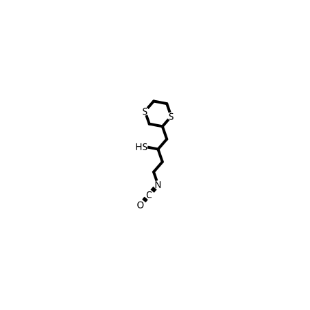 O=C=NCCC(S)CC1CSCCS1